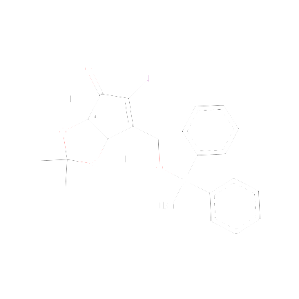 CC1(C)O[C@@H]2C(CO[Si](c3ccccc3)(c3ccccc3)C(C)(C)C)=C(I)C(=O)[C@@H]2O1